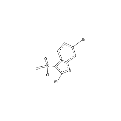 CC(C)c1nc2cc(Br)ccn2c1S(=O)(=O)Cl